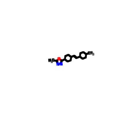 Cc1nnc(C2CCC(C=CC3CCC(C)CC3)CC2)o1